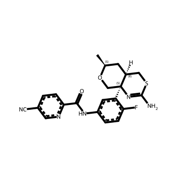 C[C@H]1C[C@H]2CSC(N)=N[C@@]2(c2cc(NC(=O)c3ccc(C#N)cn3)ccc2F)CO1